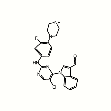 O=Cc1cn(-c2nc(Nc3ccc(N4CCNCC4)c(F)c3)ncc2Cl)c2ccccc12